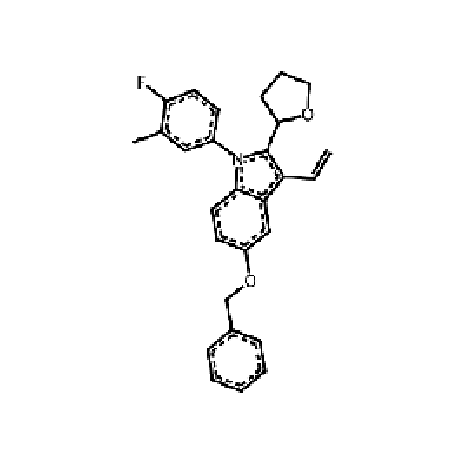 C=Cc1c(C2CCCO2)n(-c2ccc(F)c(C)c2)c2ccc(OCc3ccccc3)cc12